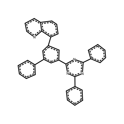 c1ccc(-c2cc(-c3nc(-c4ccccc4)nc(-c4ccccc4)n3)cc(-c3cccc4cccnc34)c2)cc1